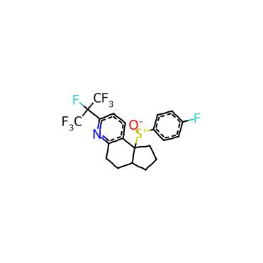 [O-][S+](c1ccc(F)cc1)C12CCCC1CCc1nc(C(F)(C(F)(F)F)C(F)(F)F)ccc12